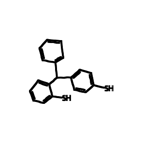 Sc1ccc(C(c2ccccc2)c2ccccc2S)cc1